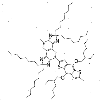 CCCCCCCCC1(CCCCCCCC)N=c2c(C)cc3c4c(c(-c5cc6c(OCC(CC)CCCC)c7sc(C)cc7c(OCC(CC)CCCC)c6s5)cc3c2=N1)=NC(CCCCCCCC)(CCCCCCCC)N=4